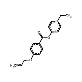 C=CCOc1ccc(C(=O)Oc2ccc(CC)cc2)cc1